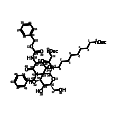 CCCCCCCCCCCCCCCCCCN(C(=O)CCCCCCCCCCC)[C@@H]1O[C@H](CO)[C@@H](O)[C@H](O)C12C(=O)C[C@H](NC(=O)OCc1ccccc1)C(=O)N2Cc1ccccc1